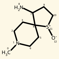 CN1CCC2(CC1)C(N)CC[S+]2[O-]